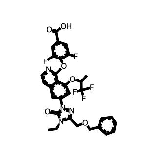 CCn1c(COCc2ccccc2)nn(-c2cc(OC(C)C(F)(F)F)c3c(Oc4c(F)cc(C(=O)O)cc4F)nccc3c2)c1=O